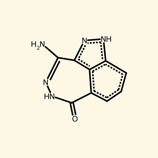 NC1=NNC(=O)c2cccc3[nH]nc1c23